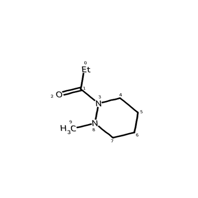 CCC(=O)N1CCCCN1C